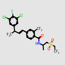 CC(CS(=O)(=O)CC(F)(F)F)NC(=O)c1ccc(/C=C/C(c2cc(Cl)c(F)c(Cl)c2)C(F)(F)F)cc1C(F)(F)F